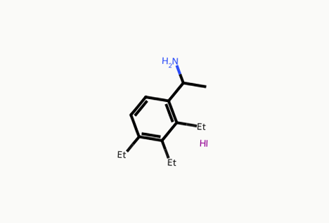 CCc1ccc(C(C)N)c(CC)c1CC.I